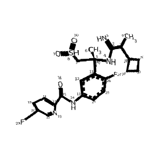 CC(C(=N)N[C@@](C)(C[SH](=O)=O)c1cc(NC(=O)C2=CCC(F)C=N2)ccc1F)C1CCC1